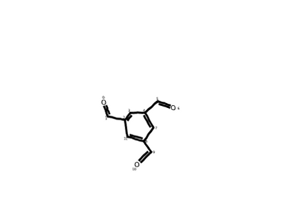 O=[C]c1cc([C]=O)cc([C]=O)c1